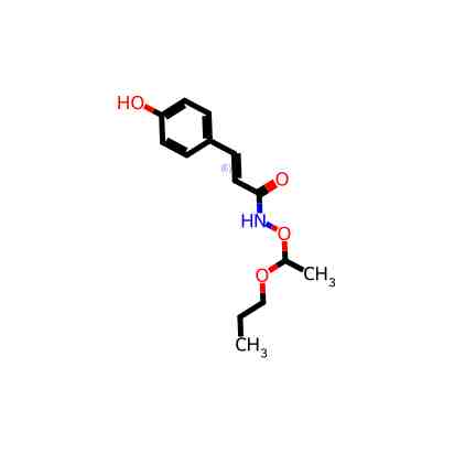 CCCOC(C)ONC(=O)/C=C/c1ccc(O)cc1